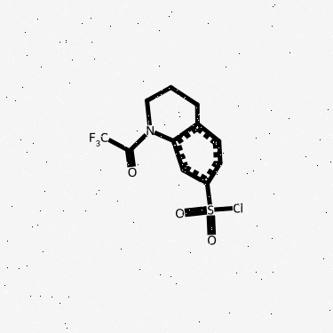 O=C(N1CCCc2ccc(S(=O)(=O)Cl)cc21)C(F)(F)F